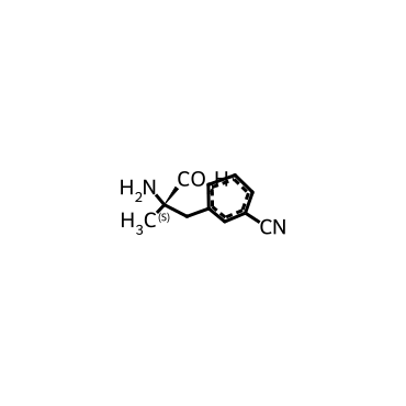 C[C@](N)(Cc1cccc(C#N)c1)C(=O)O